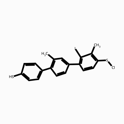 Cc1cc(-c2ccc(SCl)c(C)c2I)ccc1-c1ccc(S)cc1